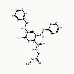 CC(C)(C)OC(=O)CNC(=O)c1cc(=O)c(OCc2ccccc2)cn1OCc1ccccc1